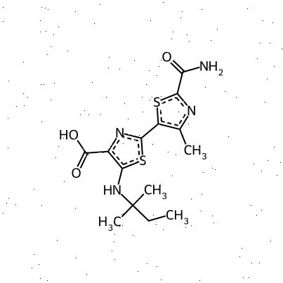 CCC(C)(C)Nc1sc(-c2sc(C(N)=O)nc2C)nc1C(=O)O